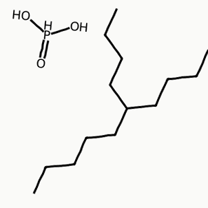 CCCCCC(CCCC)CCCC.O=[PH](O)O